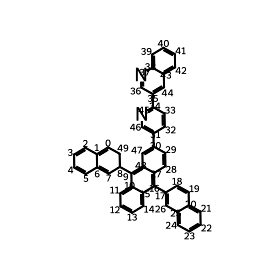 C1=c2ccccc2=CC(c2c3ccccc3c(-c3ccc4ccccc4c3)c3ccc(-c4ccc(-c5cnc6ccccc6c5)nc4)cc23)C1